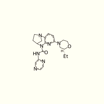 CC[C@@H]1CN(c2ccc3c(n2)N(C(=O)Nc2cnccn2)C2CCN3C2)CCO1